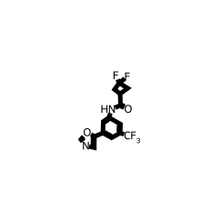 O=C(Nc1cc(-c2cnco2)cc(C(F)(F)F)c1)C1CC(F)(F)C1